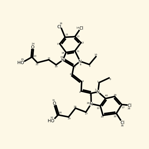 CCN1C(=CC=Cc2n(CC)c3cc(Cl)c(Cl)cc3[n+]2CCCC(=O)O)N(CCCC(=O)O)c2cc(Cl)c(Cl)cc21